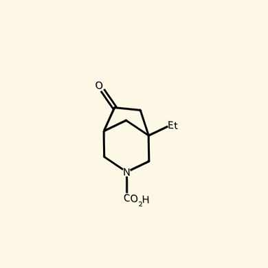 CCC12CC(=O)C(CN(C(=O)O)C1)C2